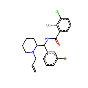 C=CCN1CCCC[C@H]1C(NC(=O)c1cccc(Cl)c1C(F)(F)F)c1cccc(Br)c1